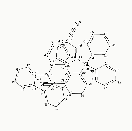 N#Cc1ccc(-n2c3ccccc3c3ccccc32)c(-c2c(C#N)cccc2[Si](c2ccccc2)(c2ccccc2)c2ccccc2)c1